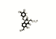 CCc1c(CBr)ccc2c1c(=O)n(CC(=O)O)c(=O)n2Cc1ccc(Cl)c(Cl)c1